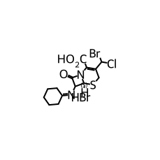 Br.O=C(O)C1=C(C(Cl)Br)CS[C@H]2C(N=C3CCCCC3)C(=O)N12